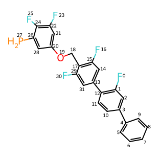 Fc1cc(-c2ccccc2)ccc1-c1cc(F)c(COc2cc(F)c(F)c(P)c2)c(F)c1